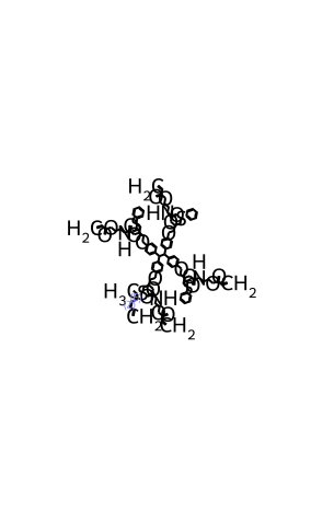 C=C/C=C\C=C(/C)SCC(COc1ccc(C(c2ccc(OCC(CSc3ccccc3)OC(=O)NCCOC(=O)C=C)cc2)C(c2ccc(OCC(CSc3ccccc3)OC(=O)NCCOC(=O)C=C)cc2)c2ccc(OCC(CSc3ccccc3)OC(=O)NCCOC(=O)C=C)cc2)cc1)OC(=O)NCCOC(=O)C=C